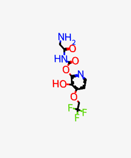 NCC(=O)NC(=O)Oc1nccc(OCC(F)(F)F)c1O